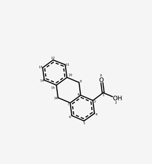 O=C(O)c1cccc2c1Cc1ccccc1C2